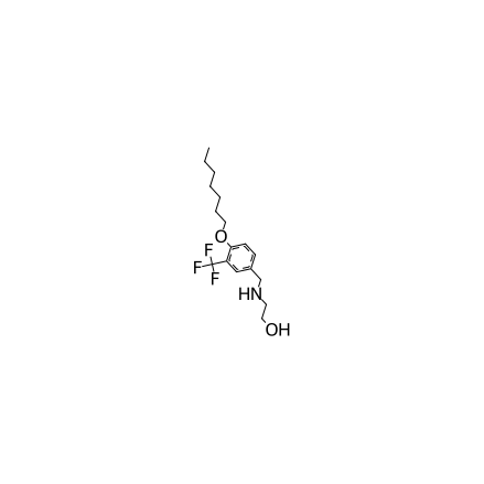 CCCCCCCOc1ccc(CNCCO)cc1C(F)(F)F